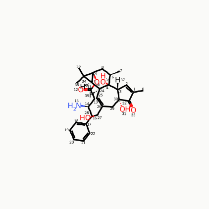 CC1=C[C@H]2[C@@]3(O)[C@H](C)C[C@]4(OC(=O)C[C@H](N)Cc5ccccc5)[C@@H]([C@@H]3C=C(CO)C[C@]2(O)C1=O)C4(C)C